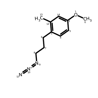 COc1ccc(CCCN=[N+]=[N-])c(C)c1